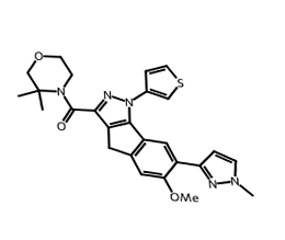 COc1cc2c(cc1-c1ccn(C)n1)-c1c(c(C(=O)N3CCOCC3(C)C)nn1-c1ccsc1)C2